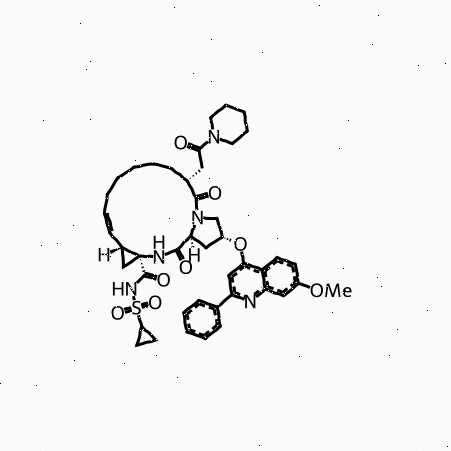 COc1ccc2c(O[C@@H]3C[C@H]4C(=O)N[C@@]5(C(=O)NS(=O)(=O)C6CC6)C[C@@H]5C=CCCCCC[C@H](CC(=O)N5CCCCC5)C(=O)N4C3)cc(-c3ccccc3)nc2c1